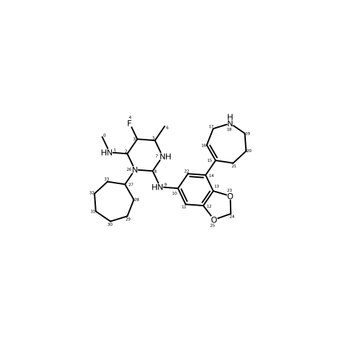 CNC1C(F)C(C)NC(Nc2cc3c(c(C4=CCNCCC4)c2)OCO3)N1C1CCCCCC1